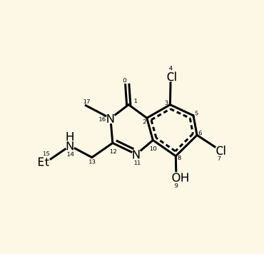 C=C1c2c(Cl)cc(Cl)c(O)c2N=C(CNCC)N1C